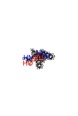 CC[C@H](C)[C@@H](CO)NC(=O)C[C@H](O)[C@H](CC(C)C)NC(=O)[C@@H](NC(=O)C(Cc1cccc2ccccc12)Cc1cccc2ccccc12)C(C)C